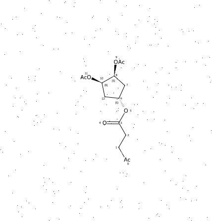 CC(=O)CCC(=O)O[C@H]1C[C@H](OC(C)=O)[C@H](OC(C)=O)C1